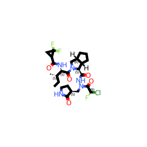 CC[C@H](C)[C@H](NC(=O)C1CC1(F)F)C(=O)N1C[C@@H]2CCC[C@@H]2[C@H]1C(=O)NN(C[C@@H]1CCNC1=O)C(=O)[C@H](F)Cl